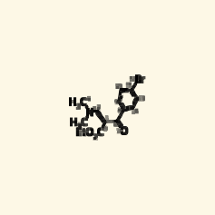 CCOC(=O)C(=CN(C)C)C(=O)c1ccc(Br)cc1